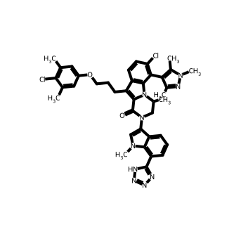 Cc1cc(OCCCc2c3n(c4c(-c5c(C)nn(C)c5C)c(Cl)ccc24)C(C)CN(c2cn(C)c4c(-c5nnn[nH]5)cccc24)C3=O)cc(C)c1Cl